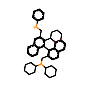 c1ccc(PCc2cc3ccccc3c(-c3c(CP(C4CCCCC4)C4CCCCC4)ccc4ccccc34)c2C2CCCCC2)cc1